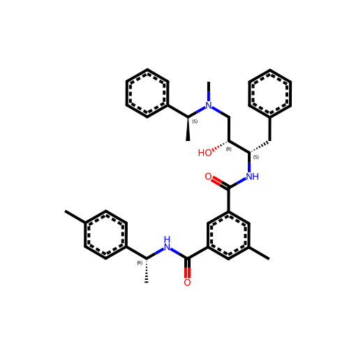 Cc1ccc([C@@H](C)NC(=O)c2cc(C)cc(C(=O)N[C@@H](Cc3ccccc3)[C@H](O)CN(C)[C@@H](C)c3ccccc3)c2)cc1